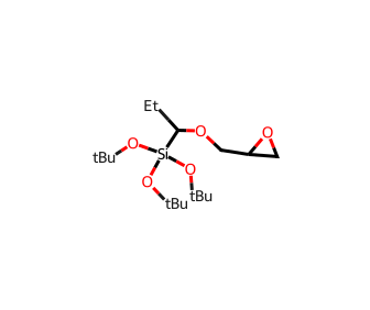 CCC(OCC1CO1)[Si](OC(C)(C)C)(OC(C)(C)C)OC(C)(C)C